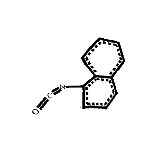 O=C=Nc1[c]ccc2ccccc12